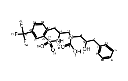 O=C(O)N(CC(O)Cc1ccccc1)CC1Cc2ccc(C(F)(F)F)cc2S(=O)(=O)N1